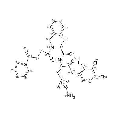 NC12CC(CC(NC(=O)[C@@H]3Cc4ccccc4CN3C(=O)CCC(=O)c3ccccc3)C(=O)Nc3ccc(Cl)c(Cl)c3F)(C1)C2